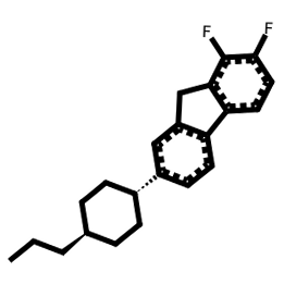 CCC[C@H]1CC[C@H](c2ccc3c(c2)Cc2c-3ccc(F)c2F)CC1